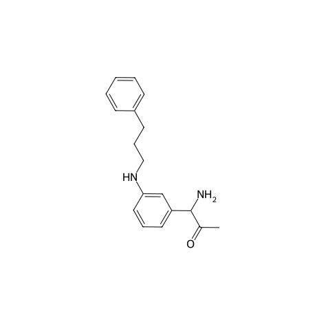 CC(=O)C(N)c1cccc(NCCCc2ccccc2)c1